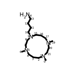 CN1CCCN(C)CCN(CCCCN)CCCN(C)CC1